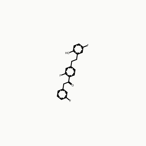 O=C(Cc1cccc(F)c1)c1ccc(CCc2cc(F)ccc2O)cc1F